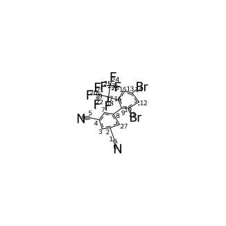 N#Cc1cc(C#N)cc(-c2c(Br)[c]c(Br)cc2C(F)(C(F)(F)F)C(F)(F)F)c1